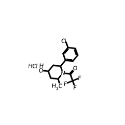 CC1CC(O)CC(c2cccc(Cl)c2)N1C(=O)C(F)(F)F.Cl